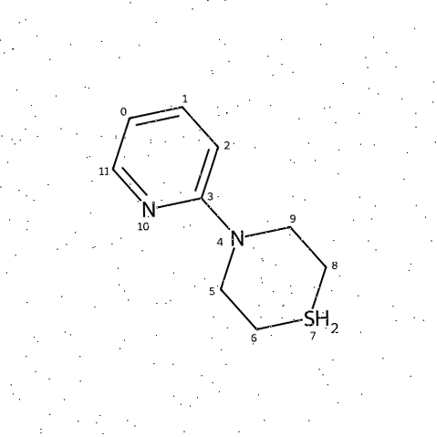 c1ccc(N2CC[SH2]CC2)nc1